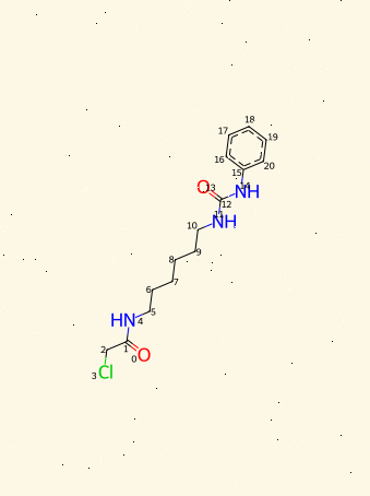 O=C(CCl)NCCCCCCNC(=O)Nc1ccccc1